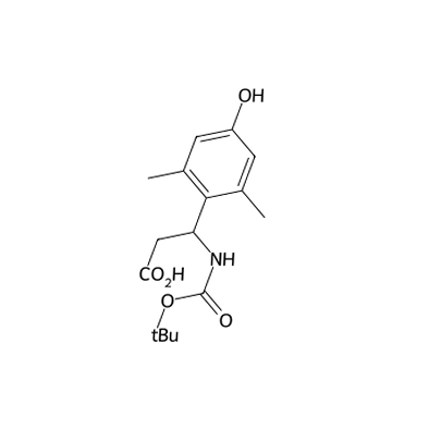 Cc1cc(O)cc(C)c1C(CC(=O)O)NC(=O)OC(C)(C)C